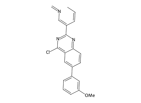 C=N/C=C(\C=C/C)c1nc(Cl)c2cc(-c3cccc(OC)c3)ccc2n1